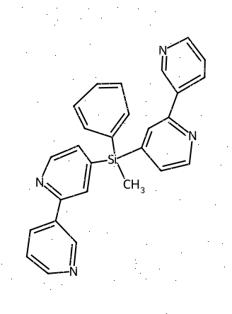 C[Si](c1ccccc1)(c1ccnc(-c2cccnc2)c1)c1ccnc(-c2cccnc2)c1